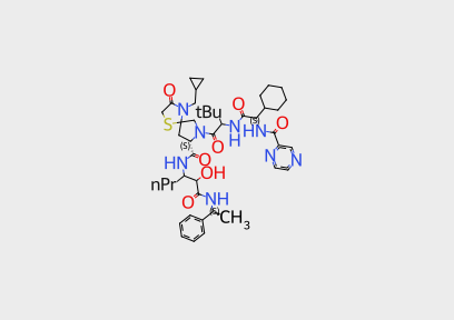 CCCC(NC(=O)[C@@H]1CC2(CN1C(=O)C(NC(=O)[C@@H](NC(=O)c1cnccn1)C1CCCCC1)C(C)(C)C)SCC(=O)N2CC1CC1)C(O)C(=O)N[C@@H](C)c1ccccc1